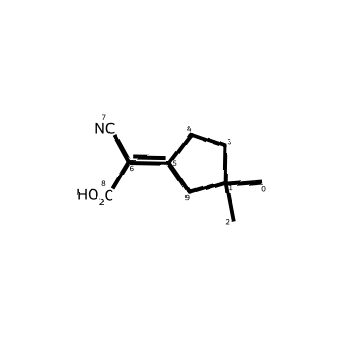 CC1(C)CCC(=C(C#N)C(=O)O)C1